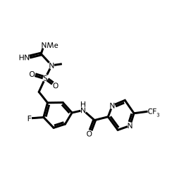 CNC(=N)N(C)S(=O)(=O)Cc1cc(NC(=O)c2cnc(C(F)(F)F)cn2)ccc1F